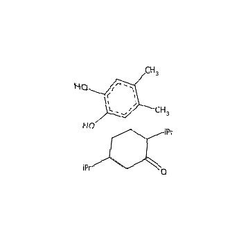 CC(C)C1CCC(C(C)C)C(=O)C1.Cc1cc(O)c(O)cc1C